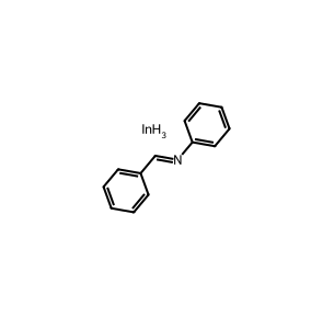 C(=N\c1ccccc1)/c1ccccc1.[InH3]